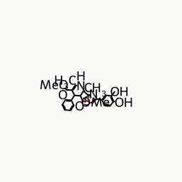 COC(=O)C1=C(C)NC(C)(c2nc(-c3ccc(O)c(O)c3)cs2)C(C(=O)OC)C1c1ccccc1